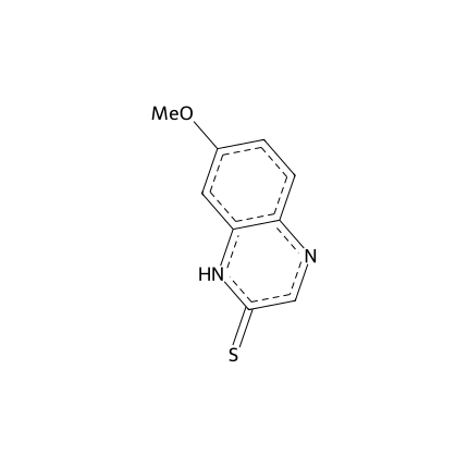 COc1ccc2ncc(=S)[nH]c2c1